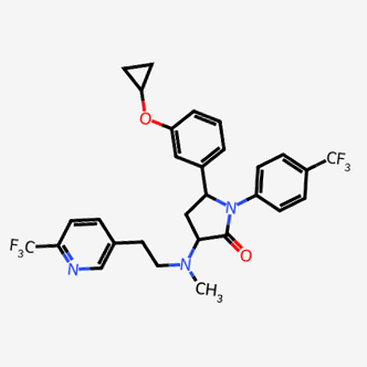 CN(CCc1ccc(C(F)(F)F)nc1)C1CC(c2cccc(OC3CC3)c2)N(c2ccc(C(F)(F)F)cc2)C1=O